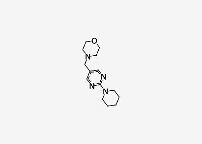 c1nc(N2CCCCC2)ncc1CN1CCOCC1